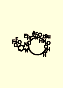 CCC1[C@@H]2CN(C(=O)[C@H](C(C)(C)C)NC(=O)O[C@@H]3C[C@H]3CCCCCc3nc4ccc5c(c4nc3O2)OC(F)(F)O5)[C@@H]1C(C)=O